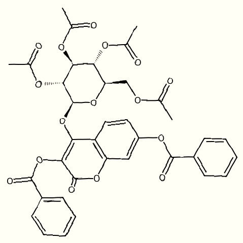 CC(=O)OC[C@H]1O[C@@H](Oc2c(OC(=O)c3ccccc3)c(=O)oc3cc(OC(=O)c4ccccc4)ccc23)[C@H](OC(C)=O)[C@@H](OC(C)=O)[C@@H]1OC(C)=O